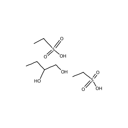 CCC(O)CO.CCS(=O)(=O)O.CCS(=O)(=O)O